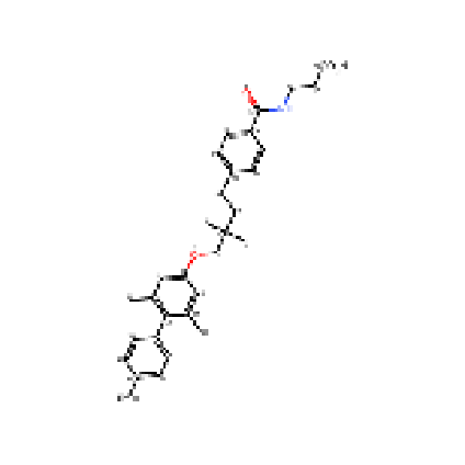 Cc1cc(OCC(C)(C)CCc2ccc(C(=O)NCCC(=O)O)cc2)cc(C)c1-c1ccc(C(C)C)cc1